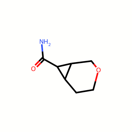 NC(=O)C1C2CCOCC21